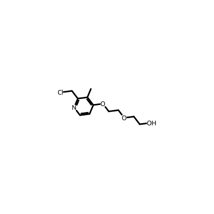 Cc1c(OCCOCCO)ccnc1CCl